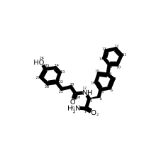 NC(=O)[C@H](Cc1ccc(-c2ccccc2)cc1)NC(=O)CCc1ccc(O)cc1